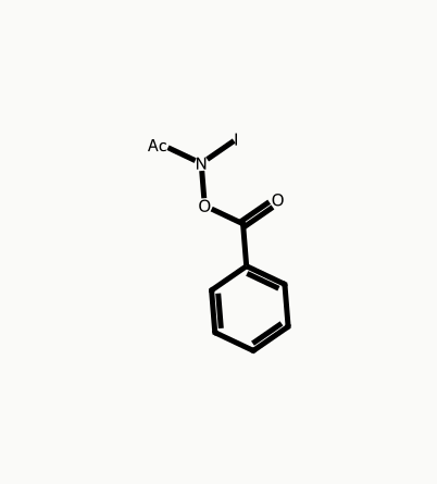 CC(=O)N(I)OC(=O)c1ccccc1